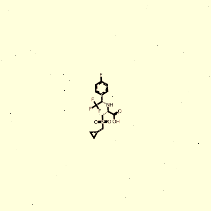 O=C(O)[C@H](CS(=O)(=O)CC1CC1)N[C@@H](c1ccc(F)cc1)C(F)(F)F